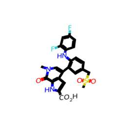 Cn1cc(-c2cc(CS(C)(=O)=O)ccc2Nc2ccc(F)cc2F)c2cc(C(=O)O)[nH]c2c1=O